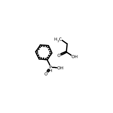 CCC(=O)O.O=[PH](O)c1ccccc1